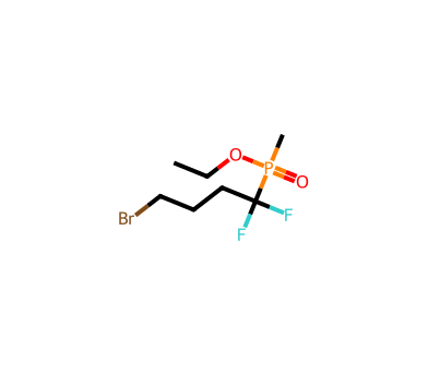 CCOP(C)(=O)C(F)(F)CCCBr